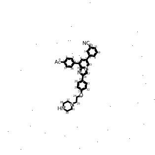 CC(=O)c1ccc(-c2cc(-c3cccc(C#N)c3)cn3cc(-c4ccc(OCCN5CCNCC5)cc4)nc23)cc1